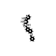 O=C(NC(Cc1c[nH]c2ncccc12)C(=O)O)c1ccc2cc(OCc3ccccc3)ccc2c1